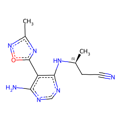 Cc1noc(-c2c(N)ncnc2N[C@@H](C)CC#N)n1